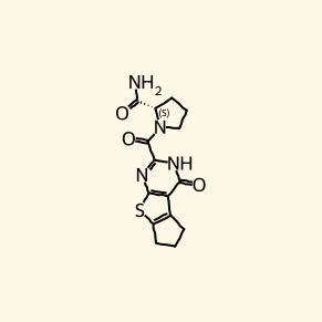 NC(=O)[C@@H]1CCCN1C(=O)c1nc2sc3c(c2c(=O)[nH]1)CCC3